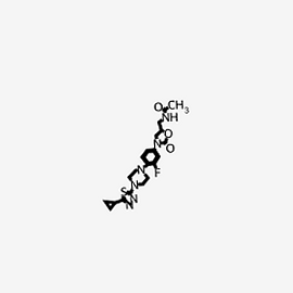 CC(=O)NCC1CN(c2ccc(N3CCN(c4nnc(C5CC5)s4)CC3)c(F)c2)C(=O)O1